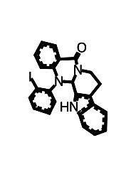 O=C1c2ccccc2N(c2ccccc2I)C2c3[nH]c4ccccc4c3CCN12